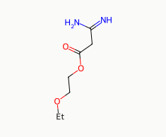 CCOCCOC(=O)CC(=N)N